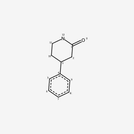 O=C1CC(c2ccccc2)CC[N]1